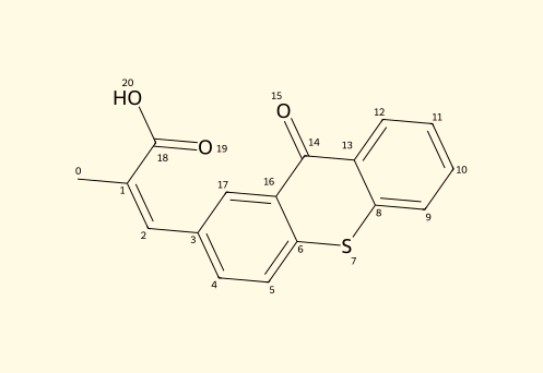 CC(=Cc1ccc2sc3ccccc3c(=O)c2c1)C(=O)O